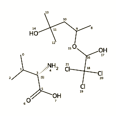 CC(C)[C@H](N)C(=O)O.CC(CC(C)(C)O)OC(O)C(Cl)(Cl)Cl